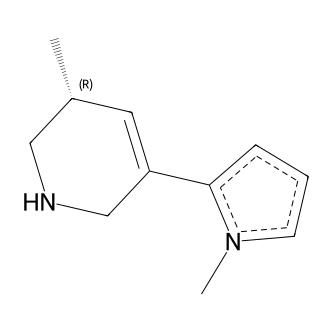 C[C@@H]1C=C(c2cccn2C)CNC1